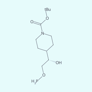 CC(C)(C)OC(=O)N1CCC([C@H](O)COP)CC1